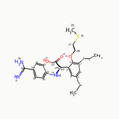 CCCc1cc(CC)cc([C@@H](Nc2ccc(C(=N)N)cc2)C(=O)O)c1OCCSC